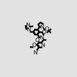 CCOc1cc(C(C)N2CCc3c(cc(Cn4ccnc4C)cc3C3CCCN3C(=O)OC(C)(C)C)C2=O)ncc1C#N